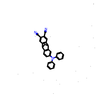 N#Cc1cc2c(cc1C#N)C1CC2c2ccc(N(c3ccccc3)c3ccccc3)cc21